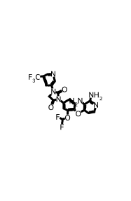 Nc1nccc(Oc2ccc(N3C(=O)CN(c4cncc(C(F)(F)F)c4)C3=O)cc2OC(F)F)c1N